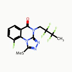 CSc1nnc2n(CC(F)(F)C(C)(F)F)c(=O)c3cccc(F)c3n12